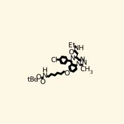 CCNC(=O)C[C@@H]1N=C(c2ccc(Cl)cc2)c2cc(OCCCCCCNC(=O)OC(C)(C)C)ccc2-n2c(C)nnc21